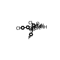 O=C(Nc1cn[nH]c1)c1cc(Cl)cc(S(=O)(=O)N(Cc2ccc(F)cc2)Cc2cccc(-c3ccc(Cl)cc3)c2)c1O